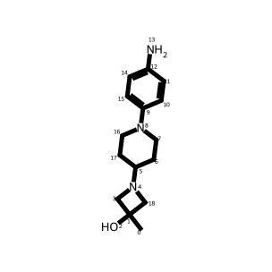 CC1(O)CN(C2CCN(c3ccc(N)cc3)CC2)C1